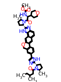 CCC(C)CC(=O)N1[C@@H](C)CC[C@H]1c1ncc(-c2ccc3c(c2)COc2cc4c(ccc5nc([C@@H]6CC[C@H](C)N6C(=O)[C@@H](NC(=O)OC)C6CCOCC6)[nH]c54)cc2-3)[nH]1